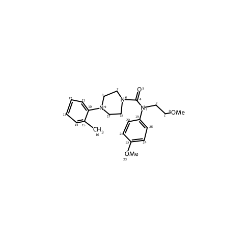 COCCN(C(=O)N1CCN(c2ccccc2C)CC1)c1ccc(OC)cc1